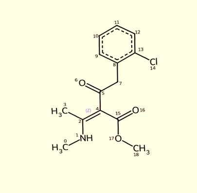 CN/C(C)=C(/C(=O)Cc1ccccc1Cl)C(=O)OC